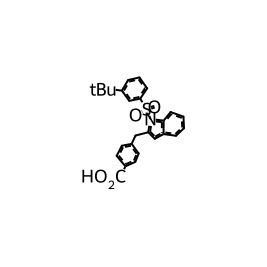 CC(C)(C)c1cccc(S(=O)(=O)n2c(Cc3ccc(C(=O)O)cc3)cc3ccccc32)c1